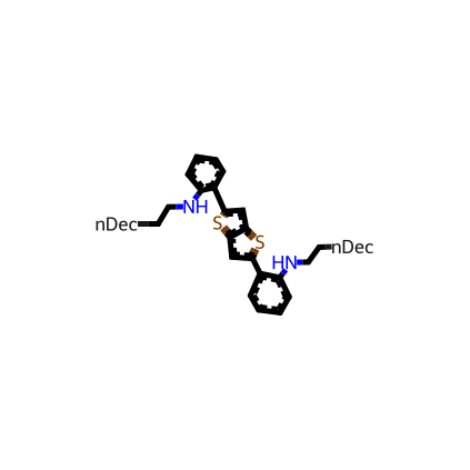 CCCCCCCCCCCCNc1ccccc1-c1cc2sc(-c3ccccc3NCCCCCCCCCCCC)cc2s1